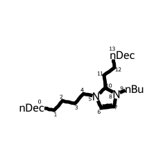 CCCCCCCCCCCCCCN1C=CN(CCCC)C1CCCCCCCCCCCC